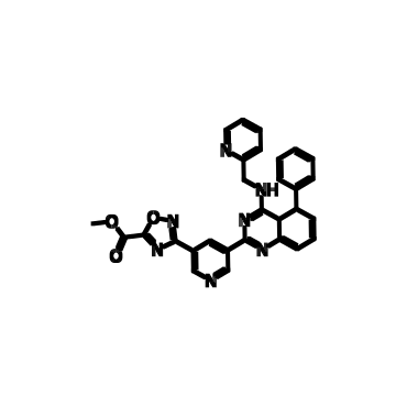 COC(=O)c1nc(-c2cncc(C3=NC4=CC=CC(c5ccccc5)C4C(NCc4ccccn4)=N3)c2)no1